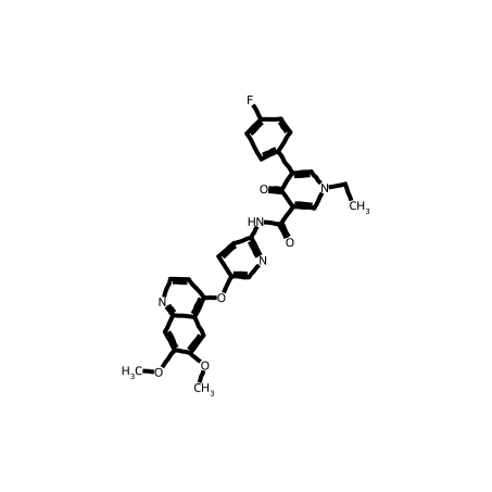 CCn1cc(C(=O)Nc2ccc(Oc3ccnc4cc(OC)c(OC)cc34)cn2)c(=O)c(-c2ccc(F)cc2)c1